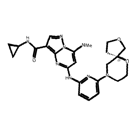 CNc1cc(Nc2cccc(N3CCO[C@@]4(CCOC4)C3)n2)nc2c(C(=O)NC3CC3)cnn12